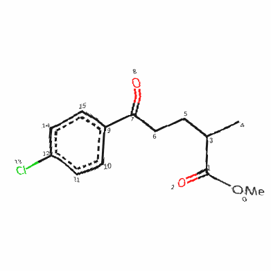 COC(=O)C(C)CCC(=O)c1ccc(Cl)cc1